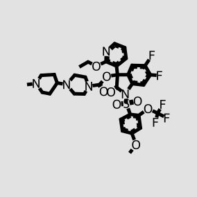 CCOc1ncccc1C1(OC(=O)N2CCN(C3CCN(C)CC3)CC2)C(=O)N(S(=O)(=O)c2ccc(OC)cc2OC(F)(F)F)c2cc(F)c(F)cc21